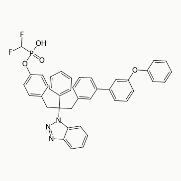 O=P(O)(Oc1ccc(CC(Cc2cccc(-c3cccc(Oc4ccccc4)c3)c2)(c2ccccc2)n2nnc3ccccc32)cc1)C(F)F